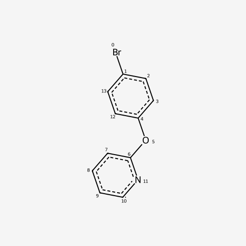 Brc1ccc(Oc2ccc[c]n2)cc1